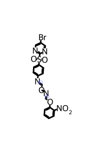 O=[N+]([O-])c1ccccc1O/C=N/O/C=N/c1ccc(S(=O)(=O)c2ncc(Br)cn2)cc1